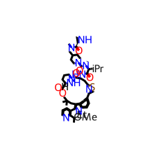 CCn1c(-c2cccnc2[C@H](C)OC)c2c3cc(ccc31)-c1csc(n1)C[C@H](NC(=O)C(C(C)C)N(C)C(=O)N1CCC(CN(C)C(=O)[C@H]3CN3)CC1)C(=O)N1CCC[C@H](N1)C(=O)OCC(C)(C)C2